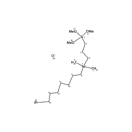 CO[Si](CCC[N+](C)(C)CCCCCCCC(C)C)(OC)OC.[Cl-]